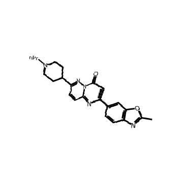 CCCN1CCC(c2ccc3nc(-c4ccc5nc(C)oc5c4)cc(=O)n3n2)CC1